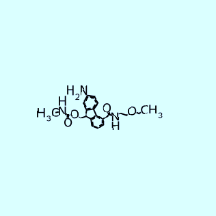 CCOCCNC(=O)c1cccc2c1-c1ccc(N)cc1C2COC(=O)NC